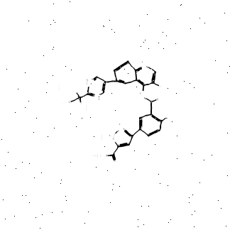 CC(Nc1c(Cl)cnc2ccc(-c3cnc(C(C)(C)O)nc3)cc12)c1cc(-c2cc(C(=O)O)[nH]n2)ccc1F